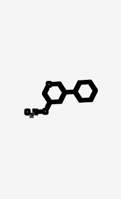 O=[N+]([O-])OC1COCC(C2CCCCC2)C1